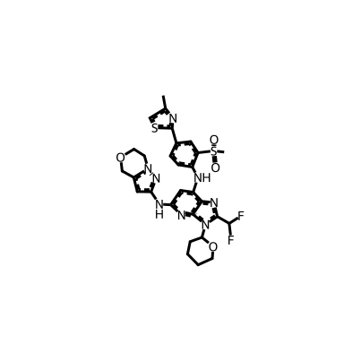 Cc1csc(-c2ccc(Nc3cc(Nc4cc5n(n4)CCOC5)nc4c3nc(C(F)F)n4C3CCCCO3)c(S(C)(=O)=O)c2)n1